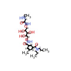 CCCN(CCC)C(=O)c1cc(C)cc(C(=O)NOC[C@H](O)[C@H](O)C(O)CONC(=O)CNC)c1